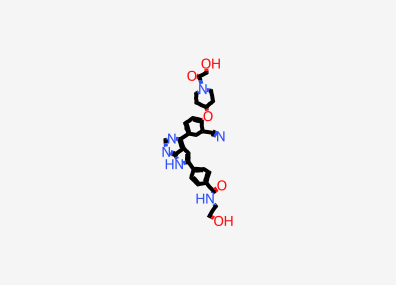 N#CC1CC(c2ncnc3[nH]c(-c4ccc(C(=O)NCCO)cc4)cc23)=CC=C1OC1CCN(C(=O)CO)CC1